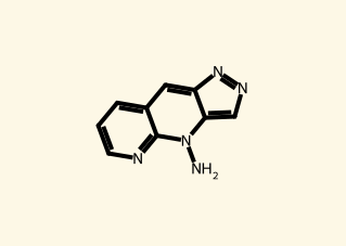 Nn1c2cnnc-2cc2cccnc21